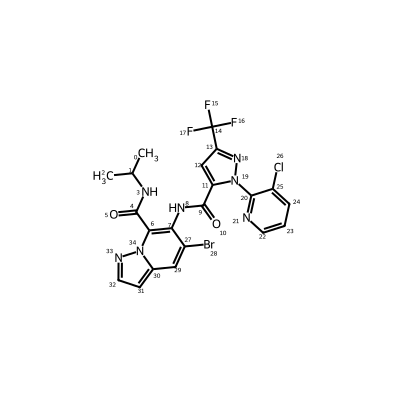 CC(C)NC(=O)c1c(NC(=O)c2cc(C(F)(F)F)nn2-c2ncccc2Cl)c(Br)cc2ccnn12